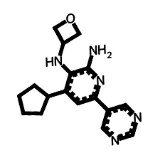 Nc1nc(-c2cncnc2)cc(C2CCCC2)c1NC1COC1